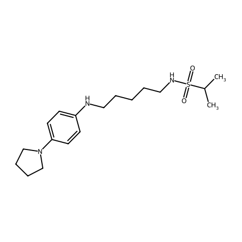 CC(C)S(=O)(=O)NCCCCCNc1ccc(N2CCCC2)cc1